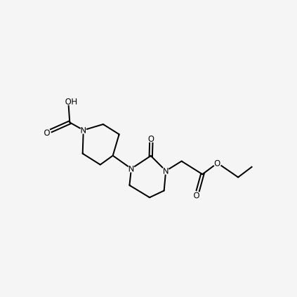 CCOC(=O)CN1CCCN(C2CCN(C(=O)O)CC2)C1=O